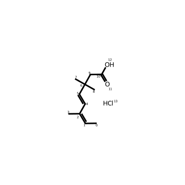 CC=C(C)C=CC(C)(C)CC(=O)O.Cl